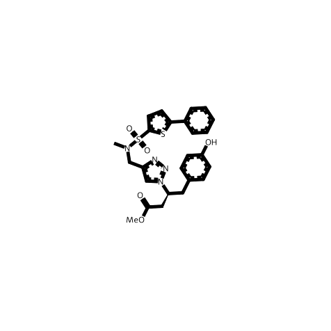 COC(=O)C[C@H](Cc1ccc(O)cc1)n1cc(CN(C)S(=O)(=O)c2ccc(-c3ccccc3)s2)nn1